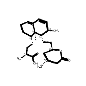 C[C@@H]1C=CC2=CCC[C@@H](CC[C@H](C)C(=O)O)[C@@H]2[C@H]1CC[C@@H]1C[C@@H](O)CC(=O)O1